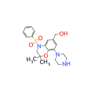 CC1(C)CN(S(=O)(=O)c2ccccc2)c2cc(CO)cc(N3CCNCC3)c2O1